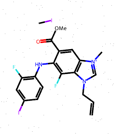 C=CCn1c[n+](C)c2cc(C(=O)OC)c(Nc3ccc(I)cc3F)c(F)c21.CI